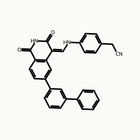 N#CCc1ccc(N/C=C2\C(=O)NC(=O)c3ccc(-c4cccc(-c5ccccc5)c4)cc32)cc1